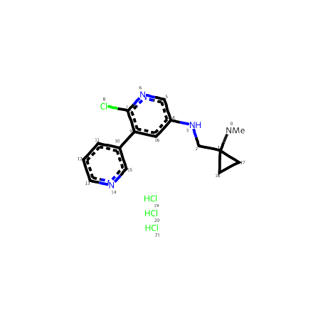 CNC1(CNc2cnc(Cl)c(-c3cccnc3)c2)CC1.Cl.Cl.Cl